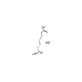 O=C(O)CCCCCC(=O)O.[Hf]